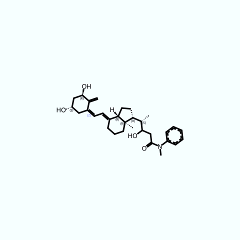 C=C1/C(=C\C=C2CCC[C@]3(C)[C@@H]([C@H](C)C(O)CC(=O)N(C)c4ccccc4)CC[C@@H]23)C[C@H](O)C[C@H]1O